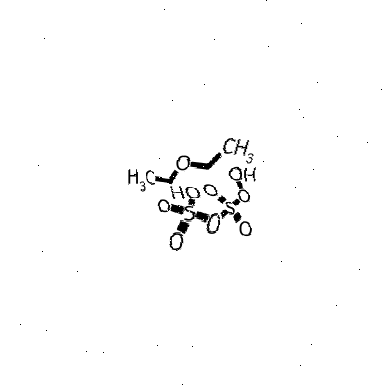 CCOCC.O=S(=O)(O)OS(=O)(=O)OO